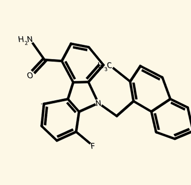 Cc1ccc2ccccc2c1Cn1c2cccc(C(N)=O)c2c2[c]ccc(F)c21